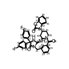 N=C1NC(c2ccc(F)cc2)(c2ccc(F)cc2)C(=O)N1Cc1cccc(C(=O)N2CCC(n3c(=O)oc4ccccc43)CC2)c1